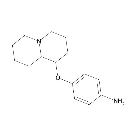 Nc1ccc(OC2CCCN3CCCCC23)cc1